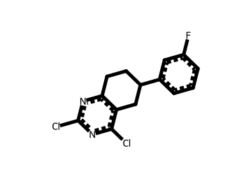 Fc1cccc(C2CCc3nc(Cl)nc(Cl)c3C2)c1